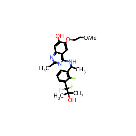 COCCOc1cc2c(NC(C)c3cccc(C(F)(F)C(C)(C)O)c3F)nc(C)nc2cc1O